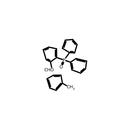 Cc1ccccc1.O=Cc1ccccc1P(=O)(c1ccccc1)c1ccccc1